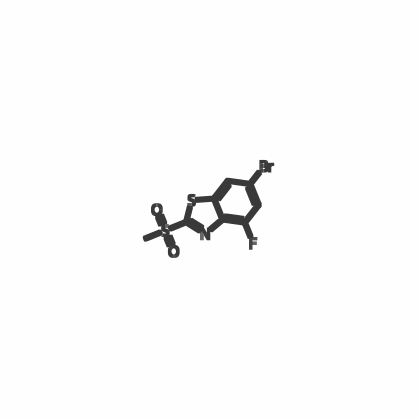 CS(=O)(=O)c1nc2c(F)cc(Br)cc2s1